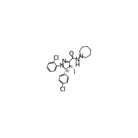 CC[C@H]1C(C(=O)NN2CCCCCC2)=NN(c2ccccc2Cl)[C@H]1c1ccc(Cl)cc1